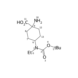 CCN(C(=O)OC(C)(C)C)C1CCC(N)(C(=O)O)CC1